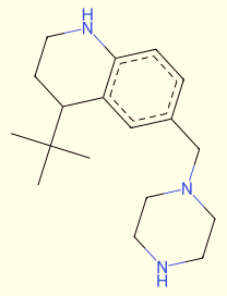 CC(C)(C)C1CCNc2ccc(CN3CCNCC3)cc21